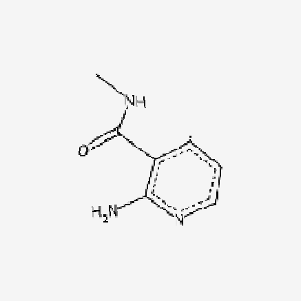 CNC(=O)c1[c]ccnc1N